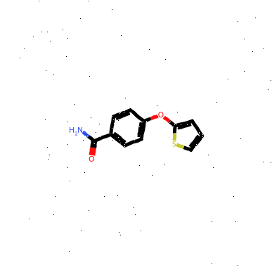 NC(=O)c1ccc(Oc2cccs2)cc1